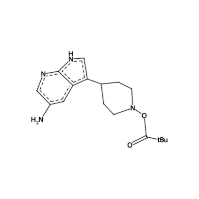 CC(C)(C)C(=O)ON1CCC(c2c[nH]c3ncc(N)cc23)CC1